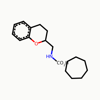 C1CCCCCC1.O=C(O)NCC1CCc2ccccc2O1